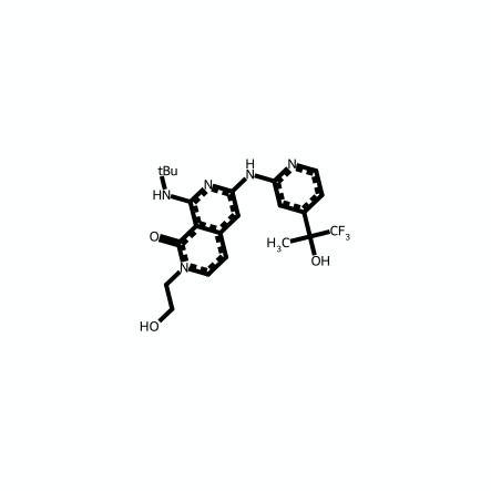 CC(C)(C)Nc1nc(Nc2cc(C(C)(O)C(F)(F)F)ccn2)cc2ccn(CCO)c(=O)c12